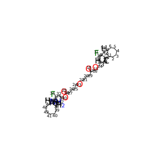 C[C@@]12CCCCC[C@@H](Cc3c(F)cc(COCC(=O)CCCCOCCCCC(=O)Oc4cc(F)c5c(c4)[C@H]4CCCCC[C@@H](C5)[C@@H]4N)cc31)C2